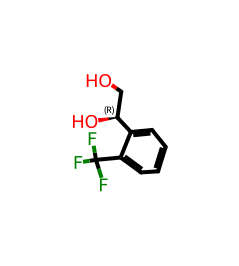 OC[C@H](O)c1ccccc1C(F)(F)F